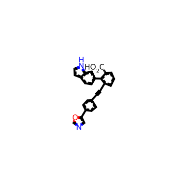 O=C(O)c1cccc(C#Cc2ccc(-c3cnco3)cc2)c1-c1ccc2cc[nH]c2c1